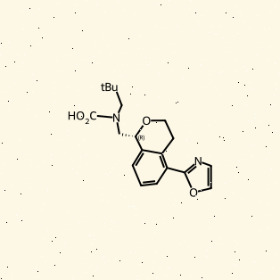 CC(C)(C)CN(C[C@@H]1OCCc2c(-c3ncco3)cccc21)C(=O)O